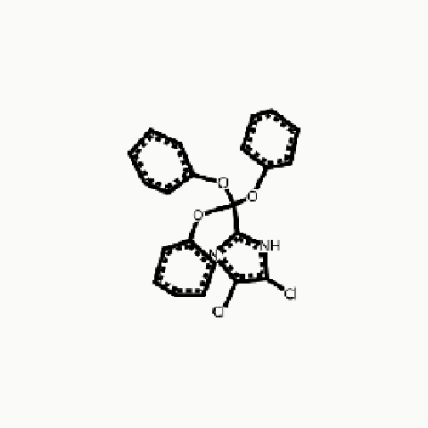 Clc1nc(C(Oc2ccccc2)(Oc2ccccc2)Oc2ccccc2)[nH]c1Cl